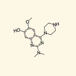 COc1cc2c(N3CCNCC3)nc(N(C)C)nc2cc1O